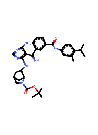 Cc1cc(NC(=O)c2cccc(C(=N)c3c(N)ncnc3NC3CC4CC3N(C(=O)OC(C)(C)C)C4)c2)ccc1C(C)C